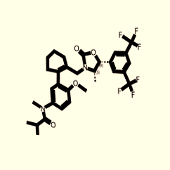 COc1ccc(N(C)C(=O)C(C)C)cc1C1=C(CN2C(=O)O[C@H](c3cc(C(F)(F)F)cc(C(F)(F)F)c3)[C@@H]2C)CCCC1